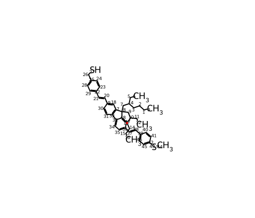 CCCCC(CC)CC1(CC(CC)CCCC)c2cc(/C=C/c3ccc(CS)cc3)ccc2-c2ccc(/C=C/c3ccc(SC)cc3)cc21